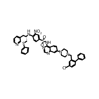 O=[N+]([O-])c1cc(S(=O)(=O)Nc2ncnc3cc(N4CCN(Cc5cc(Cl)ccc5-c5ccccc5)CC4)ccc23)ccc1N[C@H](CSc1ccccc1)Cc1cccnc1